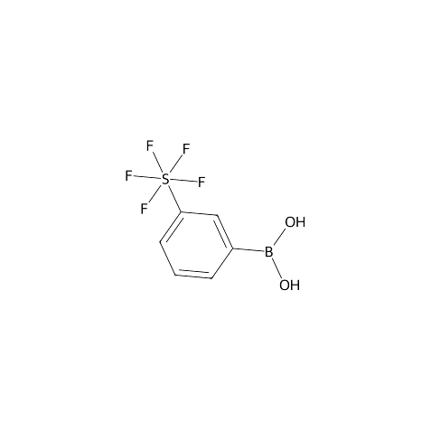 OB(O)c1cccc(S(F)(F)(F)(F)F)c1